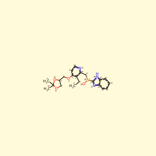 CCc1c(OCC2COC(C)(C)O2)ccnc1C[S+]([O-])c1nc2ccccc2[nH]1